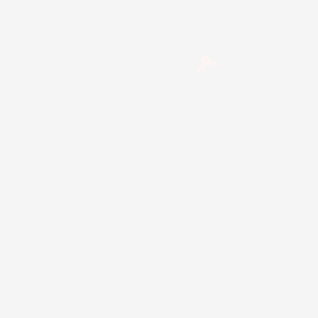 c1ccc2c(c1)oc1ccc(-c3c4ccccc4c(-c4ccc5sc6ccccc6c5c4)c4ccccc34)cc12